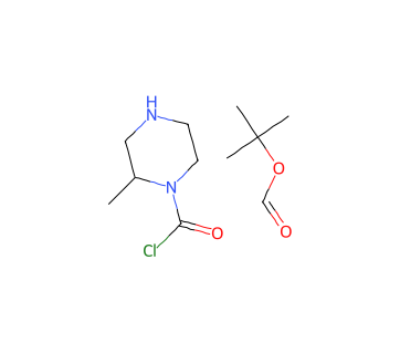 CC(C)(C)OC=O.CC1CNCCN1C(=O)Cl